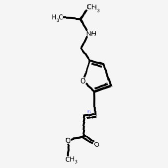 COC(=O)/C=C/c1ccc(CNC(C)C)o1